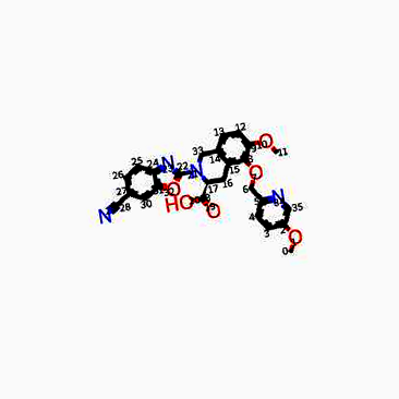 COc1ccc(COc2c(OC)ccc3c2C[C@@H](C(=O)O)N(c2nc4ccc(C#N)cc4o2)C3)nc1